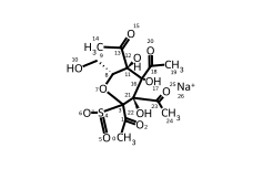 CC(=O)C1(S(=O)[O-])O[C@H](CO)[C@](O)(C(C)=O)[C@@](O)(C(C)=O)[C@]1(O)C(C)=O.[Na+]